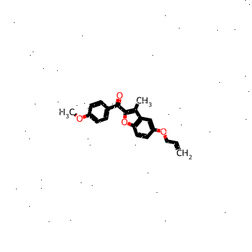 C=CCOc1ccc2oc(C(=O)c3ccc(OC)cc3)c(C)c2c1